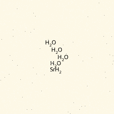 O.O.O.O.[SrH2]